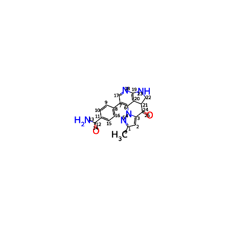 Cc1cc2n(n1)-c1c(-c3ccc(C(N)=O)cc3)cnc3c1C(CN3)C2=O